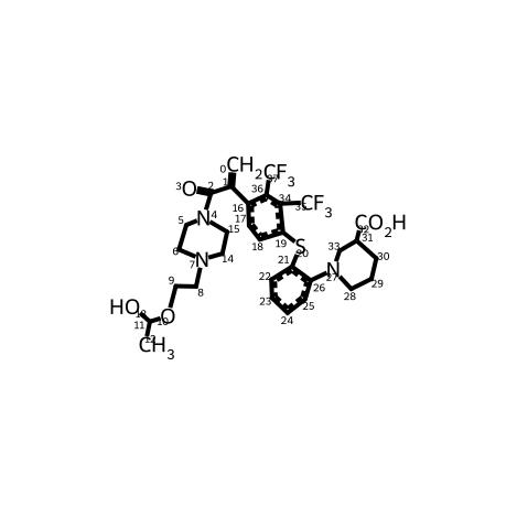 C=C(C(=O)N1CCN(CCOC(C)O)CC1)c1ccc(Sc2ccccc2N2CCCC(C(=O)O)C2)c(C(F)(F)F)c1C(F)(F)F